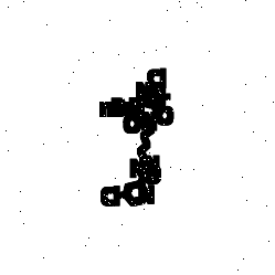 CCCCn1c(=O)n(CCCCc2noc(-c3cc(Cl)ccn3)n2)c(=O)c2c1nc(Cl)n2C